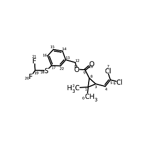 CC1(C)C(C=C(Cl)Cl)C1C(=O)OCc1cccc(SC(F)F)c1